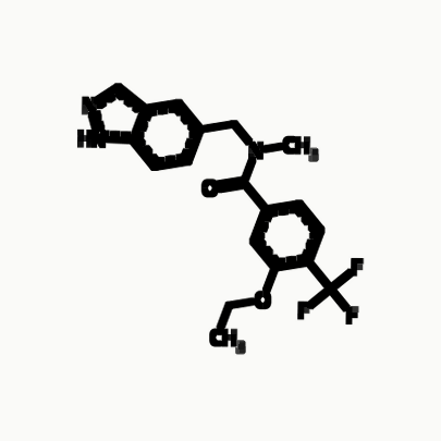 CCOc1cc(C(=O)N(C)Cc2ccc3[nH]ncc3c2)ccc1C(F)(F)F